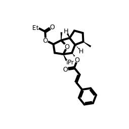 CCC(=O)OC1C[C@]2(C(C)C)O[C@@]1(C)[C@@H]1CC[C@@H](C)[C@H]1[C@@H]2OC(=O)/C=C/c1ccccc1